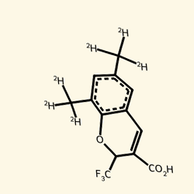 [2H]C([2H])([2H])c1cc2c(c(C([2H])([2H])[2H])c1)OC(C(F)(F)F)C(C(=O)O)=C2